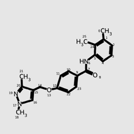 Cc1cccc(NC(=O)c2ccc(OCc3cn(C)nc3C)cc2)c1C